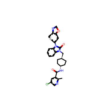 Cc1ncc(Cl)cc1C(=O)N[C@H]1CC[C@H](Cn2c(=O)n(-c3ccc4ncoc4c3)c3ccccc32)CC1